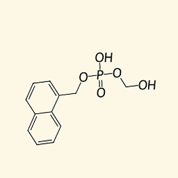 O=P(O)(OCO)OCc1cccc2ccccc12